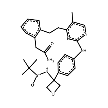 Cc1cnc(Nc2ccc(C3(N[S+]([O-])C(C)(C)C)COC3)cc2)nc1CCc1ccccc1CC(N)=O